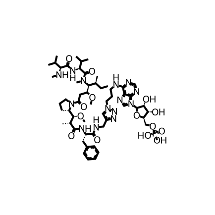 CC[C@H](C)[C@@H](C(CC(=O)N1CCC[C@H]1[C@H](OC)[C@@H](C)C(=O)N[C@@H](Cc1ccccc1)C(=O)NCc1cn(CCCNc2ncnc3c2ncn3C2O[C@H](COP(=O)(O)O)[C@@H](O)[C@H]2O)nn1)OC)N(C)C(=O)[C@@H](NC(=O)[C@@H](NC)C(C)C)C(C)C